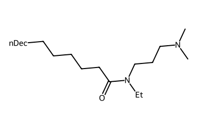 CCCCCCCCCCCCCCCC(=O)N(CC)CCCN(C)C